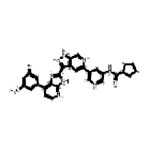 Cc1cc(F)cc(-c2ccnc3[nH]c(-c4n[nH]c5cnc(-c6cncc(NC(=O)C7CCCC7)c6)cc45)nc23)c1